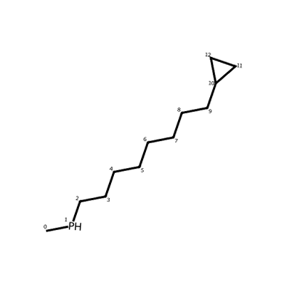 CPCCCCCCCCC1CC1